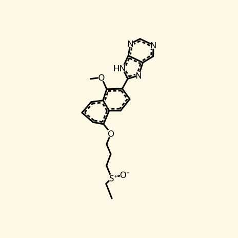 CC[S+]([O-])CCCOc1cccc2c(OC)c(-c3nc4cncnc4[nH]3)ccc12